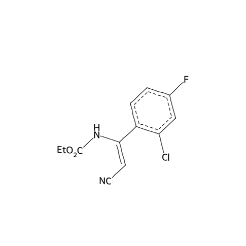 CCOC(=O)N/C(=C\C#N)c1ccc(F)cc1Cl